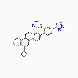 C1=CC2=C(CC1)C(C1CCC1)Cc1c2ccc2c(C3=NCCS3)c(-c3ccc(-c4csnn4)cc3)ccc12